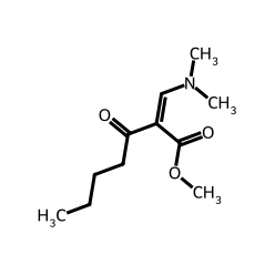 CCCCC(=O)/C(=C/N(C)C)C(=O)OC